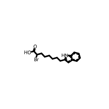 O=C(O)C(Br)CCCCCCc1cc2ccccc2[nH]1